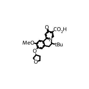 COc1cc2c(cc1O[C@@H]1CCOC1)CC(C(C)(C)C)n1cc(C(=O)O)c(=O)cc1-2